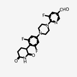 O=Cc1cnc(N2CCN(c3cc(F)c(C4CCC(=O)NC4=O)c(F)c3)CC2)c(F)c1